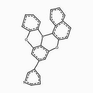 c1cncc(-c2cc3c4c(c2)Oc2ccc5ccccc5c2B4c2ccccc2O3)c1